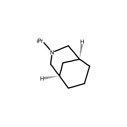 CC(C)N1C[C@@H]2CCC[C@@H](C2)C1